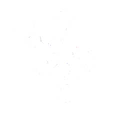 Cc1cc2c3c(c1)N(c1c(C)cc4c(c1C)OCCCO4)c1c(oc4ccccc14)B3c1cc3c(cc1N2c1ccc2c(c1)OCCCO2)OCCCO3